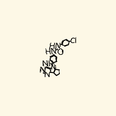 Nc1ncnc2c3c(n(-c4ccc(NC(=O)Nc5ccc(Cl)cc5)cc4)c12)CCC3